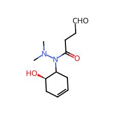 CN(C)N(C(=O)CCC=O)C1CC=CC[C@H]1O